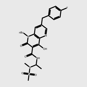 CCCCn1c(=O)c(C(=O)NC(C)N(C)S(C)(=O)=O)c(O)c2ncc(Cc3ccc(F)cc3)cc21